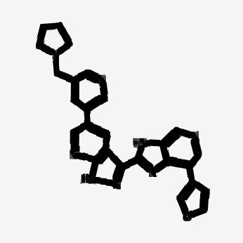 c1cc(-c2cncc3[nH]c(-c4n[nH]c5ncc(-c6cncc(CN7CCCC7)c6)cc45)nc23)co1